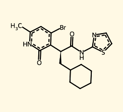 Cc1cc(Br)c([C@H](CC2CCCCC2)C(=O)Nc2nccs2)c(=O)[nH]1